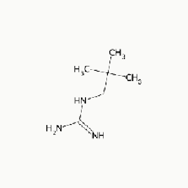 CC(C)(C)CNC(=N)N